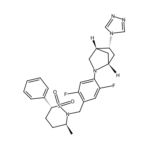 C[C@H]1CC[C@H](c2ccccc2)S(=O)(=O)N1Cc1cc(F)c(N2C[C@H]3C[C@@H]2C[C@H]3n2cnnc2)cc1F